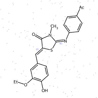 CCOc1cc(/C=C2\S/C(=N/c3ccc(C(C)=O)cc3)N(C)C2=O)ccc1O